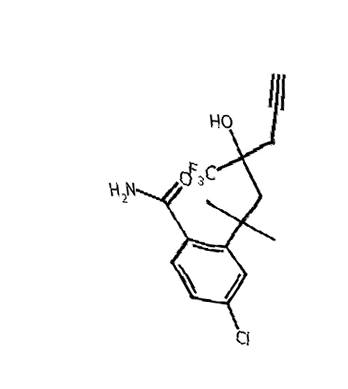 C#CCC(O)(CC(C)(C)c1cc(Cl)ccc1C(N)=O)C(F)(F)F